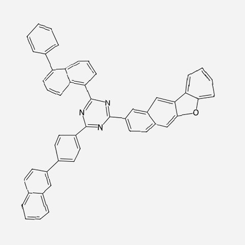 c1ccc(-c2cccc3c(-c4nc(-c5ccc(-c6ccc7ccccc7c6)cc5)nc(-c5ccc6cc7oc8ccccc8c7cc6c5)n4)cccc23)cc1